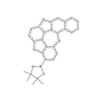 CC1(C)OB(c2ccc3oc4c5ccccc5cc5oc6ccc7sc2c3c7c6c54)OC1(C)C